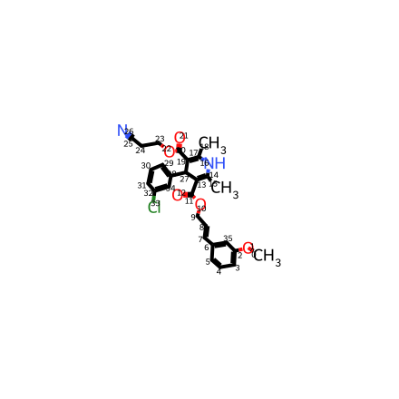 COc1cccc(/C=C/COC(=O)C2=C(C)NC(C)=C(C(=O)OCCC#N)C2c2cccc(Cl)c2)c1